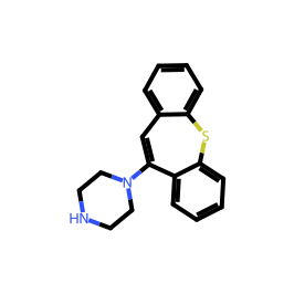 C1=C(N2CCNCC2)c2ccccc2Sc2ccccc21